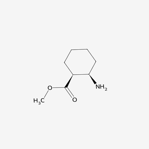 COC(=O)[C@H]1CCCC[C@H]1N